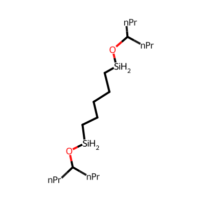 CCCC(CCC)O[SiH2]CCCCC[SiH2]OC(CCC)CCC